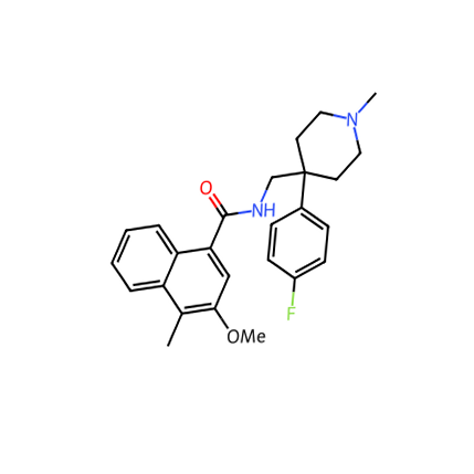 COc1cc(C(=O)NCC2(c3ccc(F)cc3)CCN(C)CC2)c2ccccc2c1C